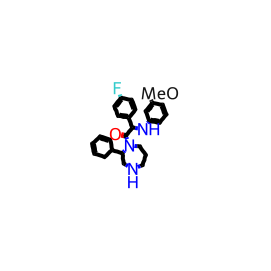 COc1cccc(NC(C(=O)N2CCCNCC2C2C=CC=CC2)c2ccc(F)cc2)c1